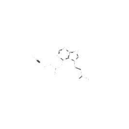 CC(CCC#N)Oc1ncnc2[nH]cc(/C=C/C(N)=O)c12